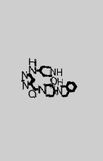 O=C(c1cc(NC2CCNCC2)ncn1)N1CC[C@H](N2CCc3ccccc3C2)[C@@H](O)C1